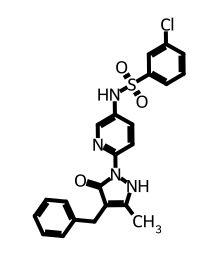 Cc1[nH]n(-c2ccc(NS(=O)(=O)c3cccc(Cl)c3)cn2)c(=O)c1Cc1ccccc1